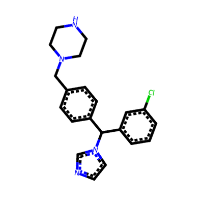 Clc1cccc(C(c2ccc(CN3CCNCC3)cc2)n2ccnc2)c1